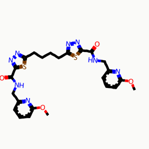 COc1cccc(CNC(=O)c2nnc(CCCCc3nnc(C(=O)NCc4cccc(OC)n4)s3)s2)n1